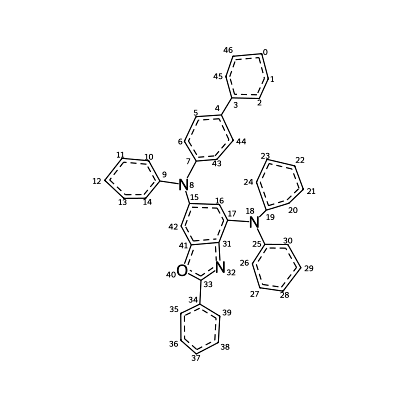 c1ccc(-c2ccc(N(c3ccccc3)c3cc(N(c4ccccc4)c4ccccc4)c4nc(-c5ccccc5)oc4c3)cc2)cc1